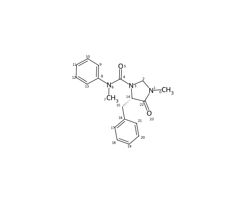 CN1CN(C(=O)N(C)c2ccccc2)[C@@H](Cc2ccccc2)C1=O